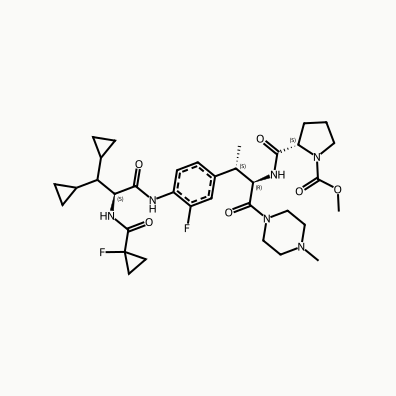 COC(=O)N1CCC[C@H]1C(=O)N[C@@H](C(=O)N1CCN(C)CC1)[C@@H](C)c1ccc(NC(=O)[C@@H](NC(=O)C2(F)CC2)C(C2CC2)C2CC2)c(F)c1